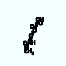 CSCC(=O)NCCOCCOC(=O)CCC(=O)O